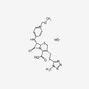 COC[n+]1ccc(N[C@@H]2C(=O)N3C(C(=O)O)=C(CSc4nnnn4C)CSC23)cc1.[OH-]